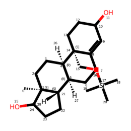 C[C@]12CC[C@@H]3[C@@H](CCC4=CC(O)CC[C@@]43CO[Si](C)(C)C)[C@@H]1CCC2O